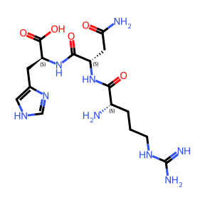 N=C(N)NCCC[C@H](N)C(=O)N[C@@H](CC(N)=O)C(=O)N[C@@H](Cc1c[nH]cn1)C(=O)O